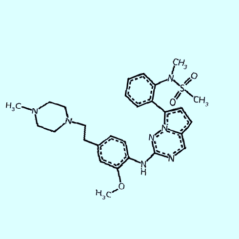 COc1cc(CCN2CCN(C)CC2)ccc1Nc1ncc2ccc(-c3ccccc3N(C)S(C)(=O)=O)n2n1